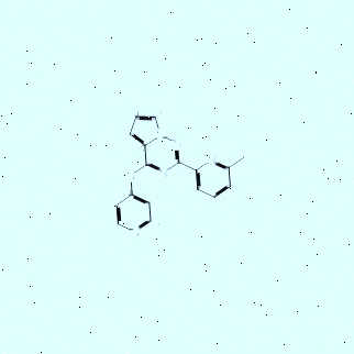 Cc1cccc(-c2nc(Nc3ccncc3)c3cccn3n2)n1